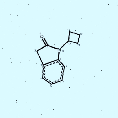 O=C1Cc2ccccc2N1C1CCC1